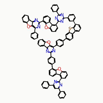 c1ccc(-c2cc(-c3ccccc3)nc(-c3cccc4oc5c(-c6ccc(-c7nc(-c8ccc(-c9ccc%10c(c9)sc9c(-c%11cccc(-c%12nc(-c%13ccccc%13)nc(-c%13cccc%14oc%15c(-c%16nc(-c%17ccccc%17)c%17oc%18ccccc%18c%17n%16)cccc%15c%13%14)n%12)c%11)cccc9%10)cc8)c8oc9ccccc9c8n7)cc6)cccc5c34)n2)cc1